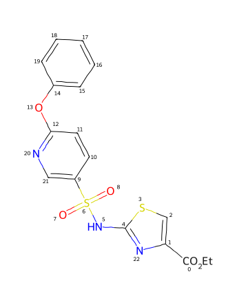 CCOC(=O)c1csc(NS(=O)(=O)c2ccc(Oc3ccccc3)nc2)n1